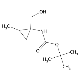 CC1CC1(CO)NC(=O)OC(C)(C)C